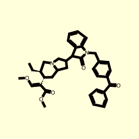 CC[C@H]1CN2CC(C3C(=O)N(Cc4ccc(C(=O)c5ccccc5)cc4)c4ccccc43)CC2C[C@@H]1/C(=C\OC)C(=O)OC